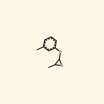 Cc1cccc(OC2OC2C)c1